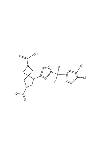 O=C(O)N1CC(c2nnc(C(F)(F)c3ccc(Cl)c(Cl)c3)o2)C2(C1)CN(C(=O)O)C2